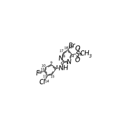 CS(=O)(=O)c1nc(Nc2ccc(F)c(Cl)c2)ncc1Br